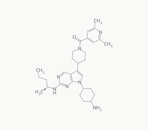 CCC[C@H](C)Nc1ncc2c(C3CCN(C(=O)c4cc(C)nc(C)c4)CC3)cn(C3CCC(N)CC3)c2n1